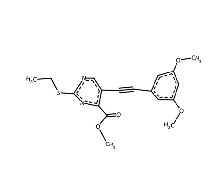 CCSc1ncc(C#Cc2cc(OC)cc(OC)c2)c(C(=O)OC)n1